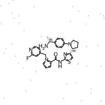 C[C@@H](N)c1ccc(N2CCC[C@@H]2c2csc(NC(=O)c3cccn3Cc3ccnc(F)c3)n2)cc1